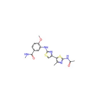 CNC(=O)c1ccc(OC)c(Nc2nc(-c3sc(NC(C)=O)nc3C)cs2)c1